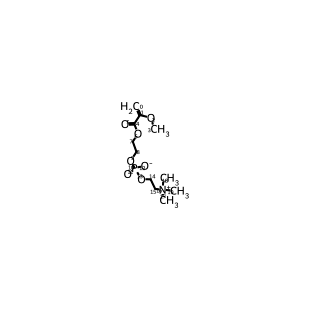 C=C(OC)C(=O)OCCOP(=O)([O-])OCC[N+](C)(C)C